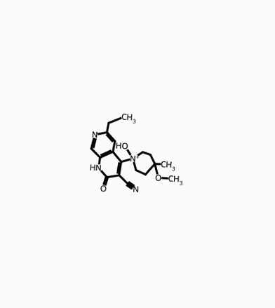 CCc1cc2c([N+]3(O)CCC(C)(OC)CC3)c(C#N)c(=O)[nH]c2cn1